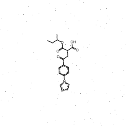 CCC(C)OC(=O)C(CC(=O)c1ccc(-n2ccnc2)cc1)C(=O)O